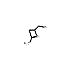 CC(C)CC1BC(C)C1